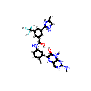 CNc1ncc2nc(-c3cc(NC(=O)c4cc(-c5nc(C)c[nH]5)cc(C(F)(F)F)c4)ccc3C)c(=O)n(C)c2n1